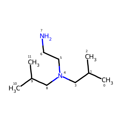 CC(C)CN(CCN)CC(C)C